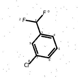 FC(F)c1cc[c]c(Cl)c1